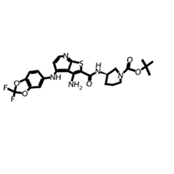 CC(C)(C)OC(=O)N1CCC[C@@H](NC(=O)c2sc3nccc(Nc4ccc5c(c4)OC(F)(F)O5)c3c2N)C1